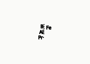 [Al].[B].[Fe].[Pr]